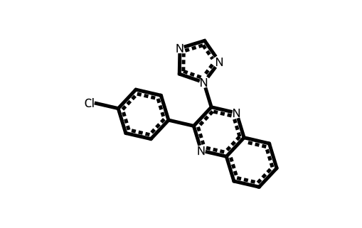 Clc1ccc(-c2nc3ccccc3nc2-n2cncn2)cc1